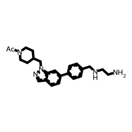 CC(=O)N1CCC(Cn2ncc3ccc(-c4ccc(CNCCN)cc4)cc32)CC1